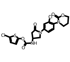 O=C(NC1CC(=O)N(c2ccc(N3CCCOC3=O)c(Cl)c2)C1)Oc1ccc(Cl)s1